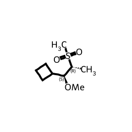 CO[C@@H](C1CCC1)[C@@H](C)S(C)(=O)=O